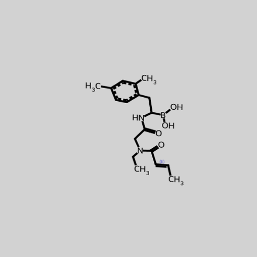 C/C=C/C(=O)N(CC)CC(=O)NC(Cc1ccc(C)cc1C)B(O)O